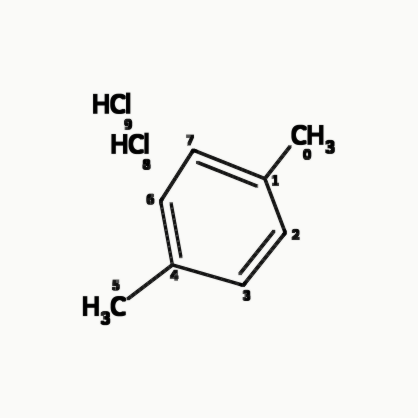 Cc1ccc(C)cc1.Cl.Cl